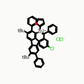 CC(C)(C)c1cc2c(cc1-c1ccccc1)Cc1c-2cc(C(C)(C)C)c(-c2ccccc2)[c]1/[Zr+2]([C]1=CC=CC1)=[C](/c1ccccc1)c1cccc(Cl)c1.[Cl-].[Cl-]